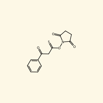 O=C(CC(=S)ON1C(=O)CCC1=O)c1ccccc1